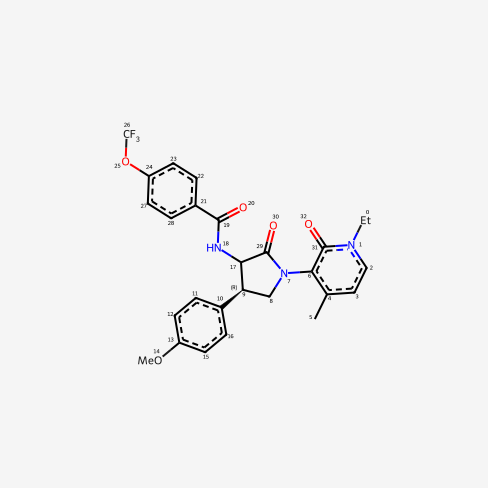 CCn1ccc(C)c(N2C[C@@H](c3ccc(OC)cc3)C(NC(=O)c3ccc(OC(F)(F)F)cc3)C2=O)c1=O